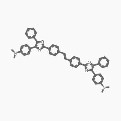 CN(C)c1ccc(-c2nc(-c3ccc(C=Cc4ccc(-c5nc(-c6ccc(N(C)C)cc6)c(-c6ccccc6)o5)cc4)cc3)oc2-c2ccccc2)cc1